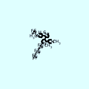 C[n+]1ccc(-c2c(-c3ccc[n+](C)c3-c3cc[n+](C)cc3)ccc[n+]2C)cc1.F[B-](F)(F)F.F[B-](F)(F)F.F[B-](F)(F)F.F[B-](F)(F)F